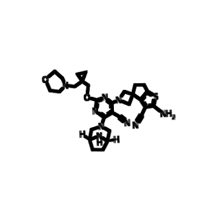 N#Cc1c(N2C[C@H]3CC[C@@H](C2)N3)nc(OCC2(CN3CCOCC3)CC2)nc1N1CC2(CCc3sc(N)c(C#N)c32)C1